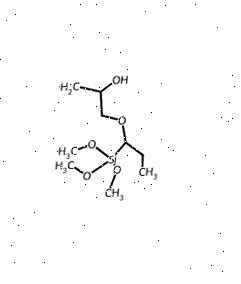 [CH2]C(O)COC(CC)[Si](OC)(OC)OC